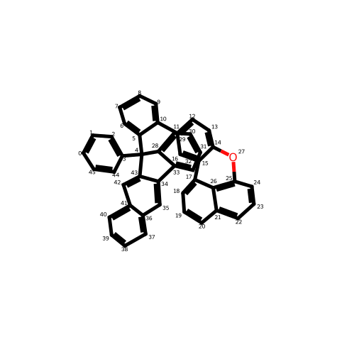 c1ccc(C2(c3ccccc3-c3ccc4c(c3)-c3cccc5cccc(c35)O4)c3ccccc3-c3cc4ccccc4cc32)cc1